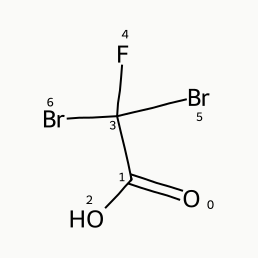 O=C(O)C(F)(Br)Br